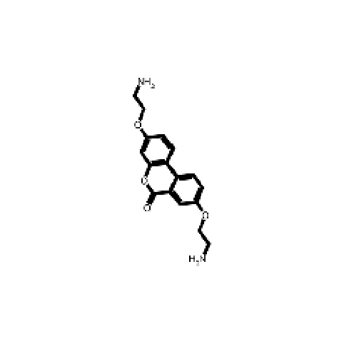 NCCOc1ccc2c(c1)oc(=O)c1cc(OCCN)ccc12